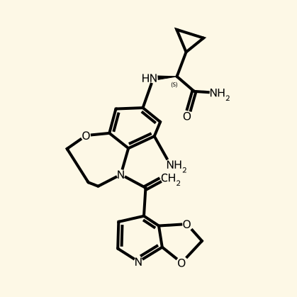 C=C(c1ccnc2c1OCO2)N1CCCOc2cc(N[C@H](C(N)=O)C3CC3)cc(N)c21